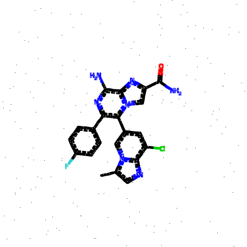 Cc1cnc2c(Cl)cc(-c3c(-c4ccc(F)cc4)nc(N)c4nc(C(N)=O)cn34)cn12